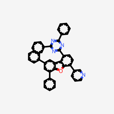 c1ccc(-c2cc(-c3ccccc3)c3oc4c(-c5cccnc5)ccc(-c5nc(-c6ccccc6)nc(-c6ccccc6)n5)c4c3c2)cc1